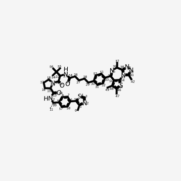 Cc1ncsc1-c1ccc([C@H](C)NC(=O)C2CCCN2C(=O)C(NC(=O)CCCCc2ccc(C3=NC(C)c4nnc(C)n4-c4sc(C)c(C)c43)cc2)C(C)(C)C)cc1